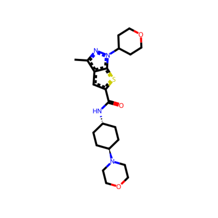 Cc1nn(C2CCOCC2)c2sc(C(=O)N[C@H]3CC[C@H](N4CCOCC4)CC3)cc12